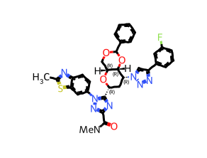 CNC(=O)c1nc([C@H]2C[C@@H](n3cc(-c4cccc(F)c4)nn3)[C@H]3OC(c4ccccc4)OC[C@H]3O2)n(-c2ccc3nc(C)sc3c2)n1